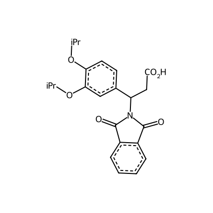 CC(C)Oc1ccc(C(CC(=O)O)N2C(=O)c3ccccc3C2=O)cc1OC(C)C